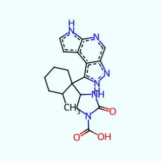 CC1CCCCC1(c1[nH]nc2cnc3[nH]ccc3c12)C1CN(C(=O)O)C(=O)N1